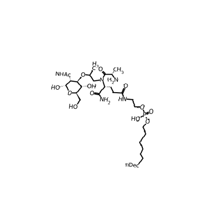 CCCCCCCCCCCCCCCCOP(=O)(O)OCCNC(=O)CC[C@H](C(N)=O)N(CC(C)O[C@H]1[C@H](O)[C@@H](CO)O[C@H](O)[C@@H]1NC(C)=O)C(=O)[C@H](C)N